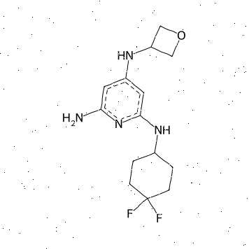 Nc1cc(NC2COC2)cc(NC2CCC(F)(F)CC2)n1